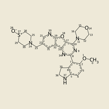 COc1ccc2c(c1-c1nc(N3CCOCC3)c3oc4ncc(CN5CC[S+]([O-])CC5)cc4c3n1)CCN2